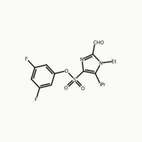 CCn1c(C=O)nc(S(=O)(=O)Oc2cc(F)cc(F)c2)c1C(C)C